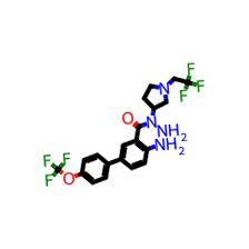 Nc1ccc(-c2ccc(OC(F)(F)F)cc2)cc1C(=O)N(N)C1CCN(CC(F)(F)F)C1